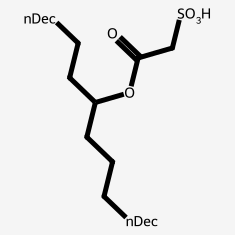 CCCCCCCCCCCCCC(CCCCCCCCCCCC)OC(=O)CS(=O)(=O)O